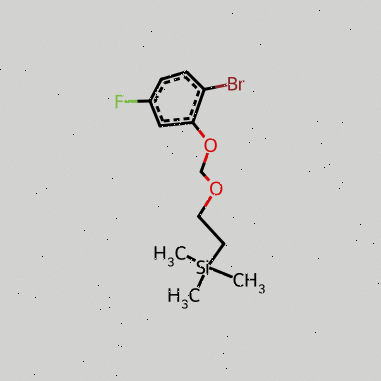 C[Si](C)(C)CCOCOc1cc(F)ccc1Br